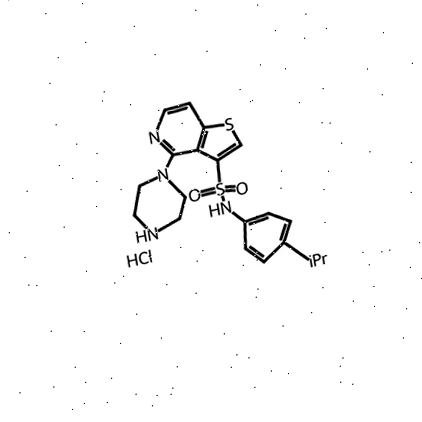 CC(C)c1ccc(NS(=O)(=O)c2csc3ccnc(N4CCNCC4)c23)cc1.Cl